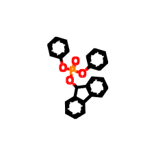 O=P(Oc1ccccc1)(Oc1ccccc1)OC1c2ccccc2-c2ccccc21